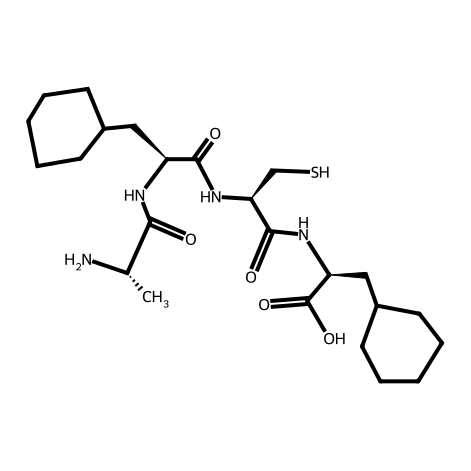 C[C@H](N)C(=O)N[C@@H](CC1CCCCC1)C(=O)N[C@@H](CS)C(=O)N[C@@H](CC1CCCCC1)C(=O)O